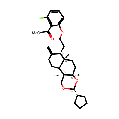 C=C1CCC2[C@]3(C)CO[C@@H](C4CCCC4)O[C@@H]3CC[C@@]2(C)[C@@H]1CCOc1cccc(F)c1C(=O)OC